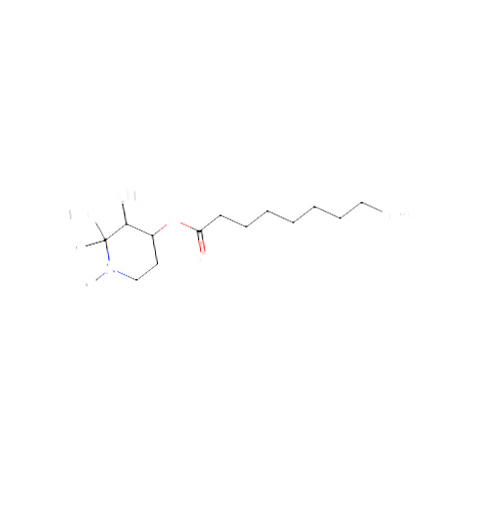 CCCCCCCCCCCCCCCCCC(=O)OC1CCN(C)C(C)(C)C1C